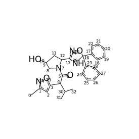 Cc1cc(C(C(=O)N2CC(O)CC2C2=NOC(c3ccccc3)(c3ccccc3)N2)C(C)C)on1